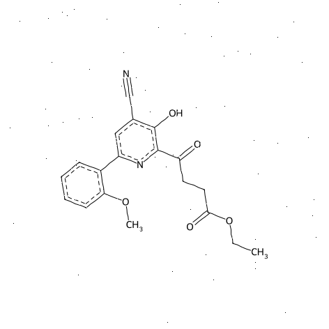 CCOC(=O)CCC(=O)c1nc(-c2ccccc2OC)cc(C#N)c1O